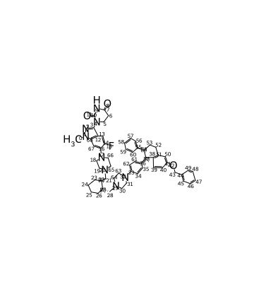 Cn1nc(N2CCC(=O)NC2=O)c2cc(F)c(N3CCN(C[C@@H]4CCCC[C@H]4CN4CCN(c5ccc([C@@H]6c7ccc(OCc8ccccc8)cc7CC[C@@H]6c6ccccc6)cc5)CC4)CC3)cc21